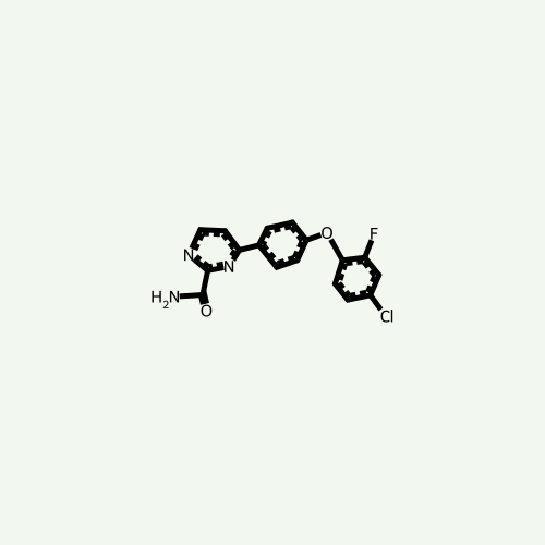 NC(=O)c1nccc(-c2ccc(Oc3ccc(Cl)cc3F)cc2)n1